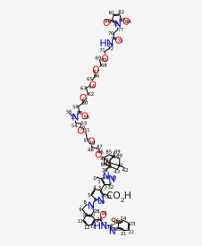 Cc1c(-c2ccc(N3CCc4cccc(C(=O)Nc5nc6ccccc6s5)c4C3)nc2C(=O)O)cnn1CC12CC3(C)CC(C)(C1)CC(OCCOCCOCCN(C)C(=O)CCOCCOCCOCCOCCNC(=O)CCN1C(=O)C=CC1=O)(C3)C2